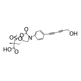 C[C@@](C[C@H]1CN(c2ccc(C#CC#CCO)cc2)C(=O)O1)(C(=O)O)S(C)(=O)=O